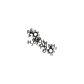 CC(C)(C[C@H]1C[C@H](NC(=O)[C@H]2CCCC[C@H]2N)C1)S(=O)(=O)c1cccc(C(F)(F)F)c1